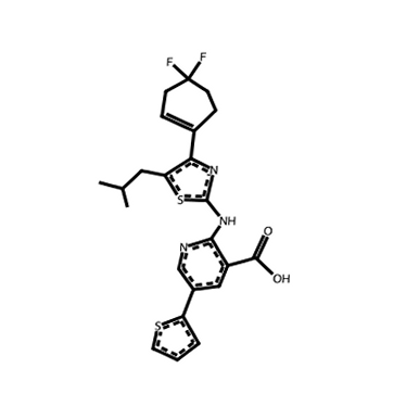 CC(C)Cc1sc(Nc2ncc(-c3cccs3)cc2C(=O)O)nc1C1=CCC(F)(F)CC1